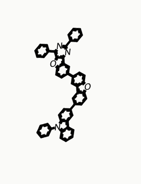 c1ccc(-c2nc(-c3ccccc3)c3oc4ccc(-c5ccc6oc7ccc(-c8ccc9c(c8)c8ccccc8n9-c8ccccc8)cc7c6c5)cc4c3n2)cc1